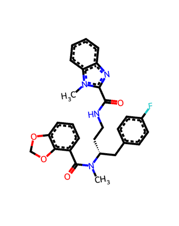 CN(C(=O)c1cccc2c1OCO2)[C@H](CCNC(=O)c1nc2ccccc2n1C)Cc1ccc(F)cc1